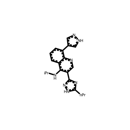 CCCc1nc(-c2cnc3c(-c4cn[nH]c4)cccc3c2NC(C)C)n[nH]1